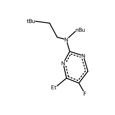 CCCCN(CCC(C)(C)C)c1ncc(F)c(CC)n1